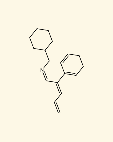 C=C/C=C(\C=N/CC1CCCCC1)C1=CCCC=C1